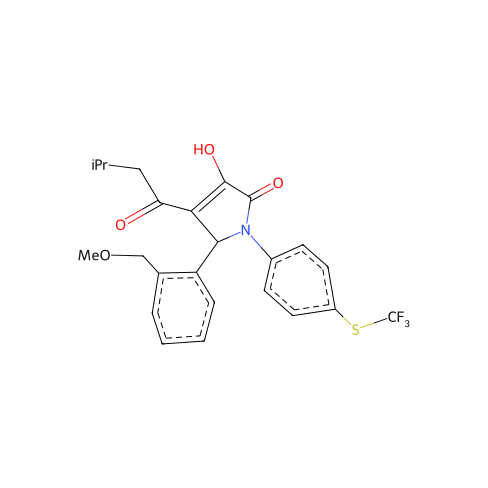 COCc1ccccc1C1C(C(=O)CC(C)C)=C(O)C(=O)N1c1ccc(SC(F)(F)F)cc1